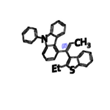 C/C=C(\c1c(CC)sc2ccccc12)c1cccc2c1c1ccccc1n2-c1ccccc1